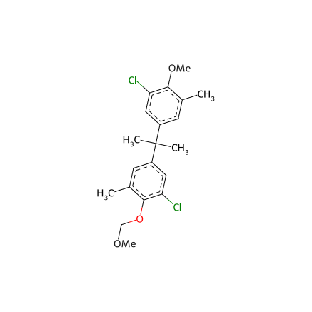 COCOc1c(C)cc(C(C)(C)c2cc(C)c(OC)c(Cl)c2)cc1Cl